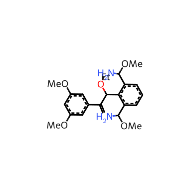 C=C(c1cc(OC)cc(OC)c1)C(OCC)c1c(C(N)OC)cccc1C(N)OC